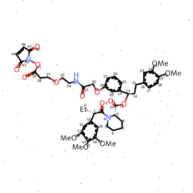 CC[C@H](C(=O)N1CCCC[C@H]1C(=O)O[C@H](CCc1ccc(OC)c(OC)c1)c1cccc(OCC(=O)NCCOCCC(=O)ON2C(=O)C=CC2=O)c1)c1cc(OC)c(OC)c(OC)c1